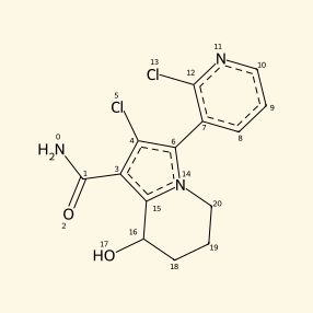 NC(=O)c1c(Cl)c(-c2cccnc2Cl)n2c1C(O)CCC2